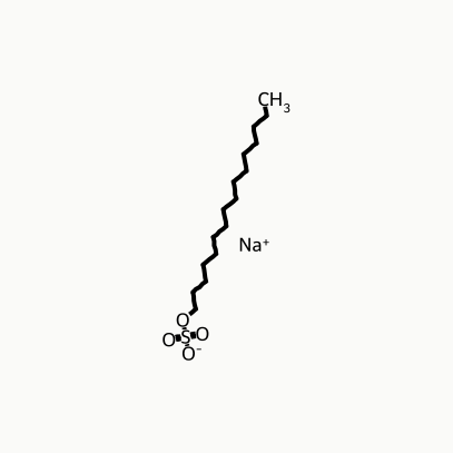 CCCCCCCCCCCCCCCCOS(=O)(=O)[O-].[Na+]